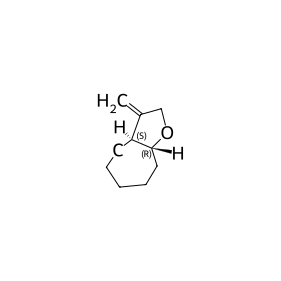 C=C1CO[C@@H]2CCCCC[C@@H]12